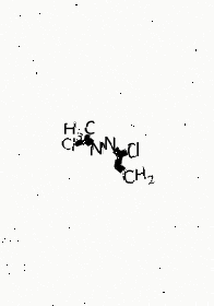 C=C/C(Cl)=N\N=C(/C)Cl